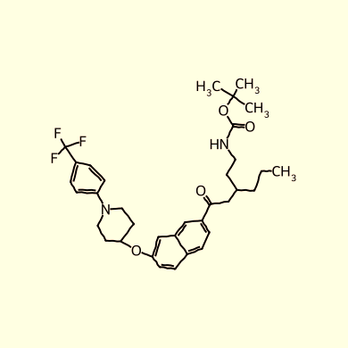 CCCC(CCNC(=O)OC(C)(C)C)CC(=O)c1ccc2ccc(OC3CCN(c4ccc(C(F)(F)F)cc4)CC3)cc2c1